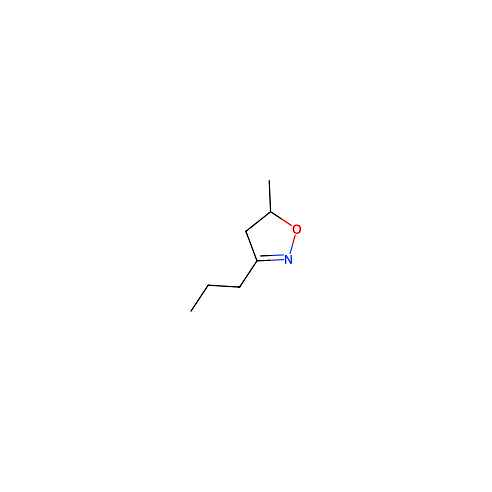 CCCC1=NOC(C)C1